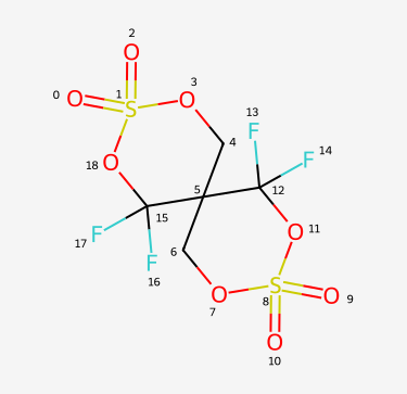 O=S1(=O)OCC2(COS(=O)(=O)OC2(F)F)C(F)(F)O1